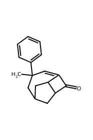 CC1(c2ccccc2)C=C2C(=O)C3CC(CC23)C1